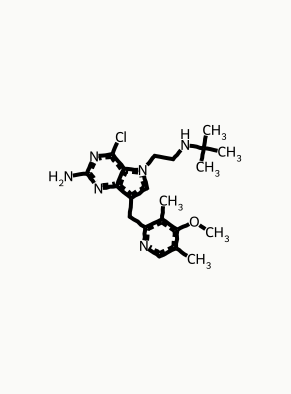 COc1c(C)cnc(Cc2cn(CCNC(C)(C)C)c3c(Cl)nc(N)nc23)c1C